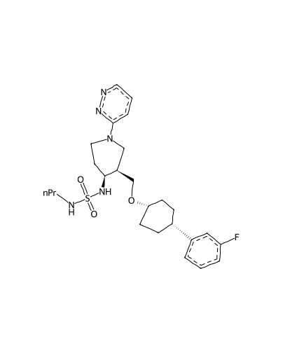 CCCNS(=O)(=O)N[C@H]1CCN(c2cccnn2)C[C@H]1CO[C@H]1CC[C@@H](c2cccc(F)c2)CC1